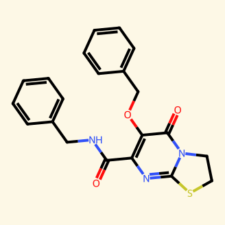 O=C(NCc1ccccc1)c1nc2n(c(=O)c1OCc1ccccc1)CCS2